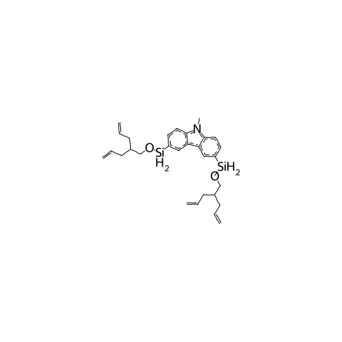 C=CCC(CC=C)CO[SiH2]c1ccc2c(c1)c1cc([SiH2]OCC(CC=C)CC=C)ccc1n2C